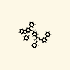 C(=N\C(NCc1ccccc1)c1ccc(Nc2cc3c(cc2-c2ccccc2)c2ccccc2n3-c2ccccc2)cc1)/c1cccc(-c2ccccc2)c1